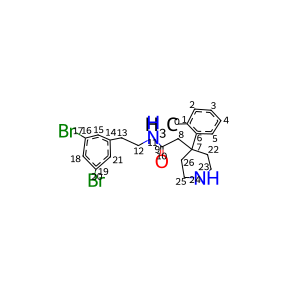 Cc1ccccc1C1(CC(=O)NCCc2cc(Br)cc(Br)c2)CCNCC1